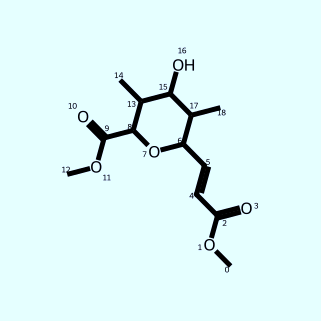 COC(=O)C=CC1OC(C(=O)OC)C(C)C(O)C1C